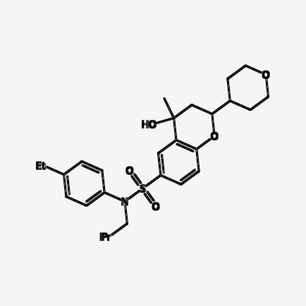 CCc1ccc(N(CC(C)C)S(=O)(=O)c2ccc3c(c2)C(C)(O)CC(C2CCOCC2)O3)cc1